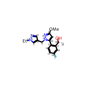 CCn1cc(Cn2nc(OC)cc2-c2ccc(F)cc2[C@@H](C)O)cn1